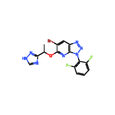 CC(Oc1nc2c(cc1Br)nnn2-c1c(F)cccc1F)c1nc[nH]n1